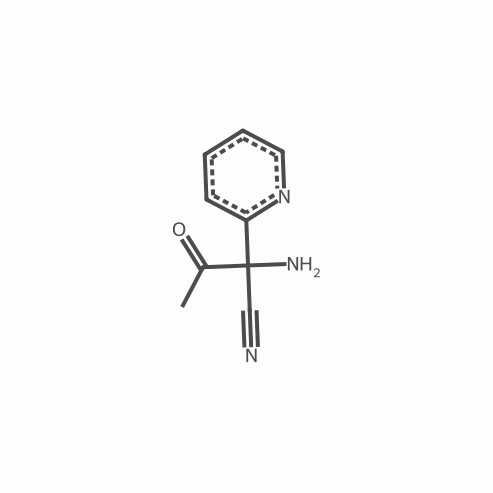 CC(=O)C(N)(C#N)c1ccccn1